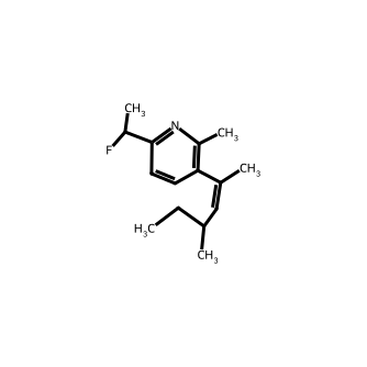 CCC(C)/C=C(/C)c1ccc(C(C)F)nc1C